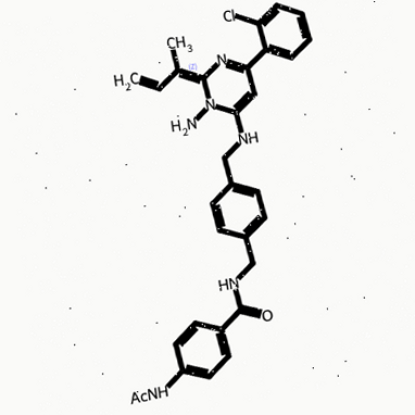 C=C/C(C)=C1/N=C(c2ccccc2Cl)C=C(NCc2ccc(CNC(=O)c3ccc(NC(C)=O)cc3)cc2)N1N